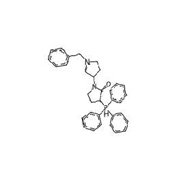 O=C1C([PH](c2ccccc2)(c2ccccc2)c2ccccc2)CCN1C1CCN(Cc2ccccc2)C1